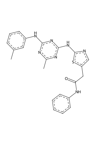 Cc1cccc(Nc2nc(C)nc(Nc3ncc(CC(=O)Nc4ccccc4)s3)n2)c1